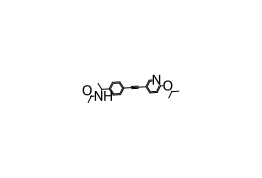 CC(=O)NC(C)c1ccc(C#Cc2ccc(OC(C)C)nc2)cc1